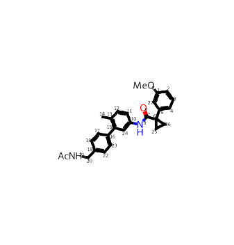 COc1cccc(C2(C(=O)Nc3ccc(C)c(-c4ccc(CNC(C)=O)cc4)c3)CC2)c1